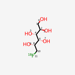 OC[C@@H](O)[C@@H](O)[C@H](O)[C@@H](O)C[18F]